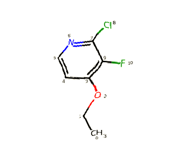 CCOc1ccnc(Cl)c1F